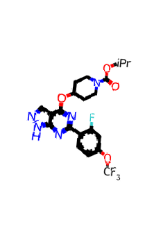 CC(C)OC(=O)N1CCC(Oc2nc(-c3ccc(OC(F)(F)F)cc3F)nc3[nH]ncc23)CC1